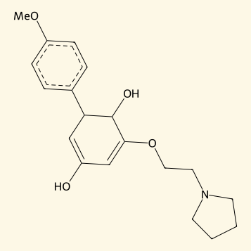 COc1ccc(C2C=C(O)C=C(OCCN3CCCC3)C2O)cc1